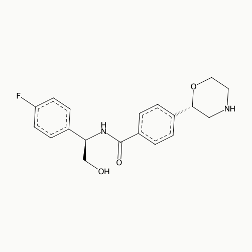 O=C(N[C@@H](CO)c1ccc(F)cc1)c1ccc([C@H]2CNCCO2)cc1